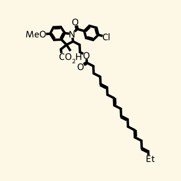 CCC=CCC=CCC=CCC=CCC=CCCCC(=O)OCCC1N(C(=O)c2ccc(Cl)cc2)c2ccc(OC)cc2C1(C)CC(=O)O